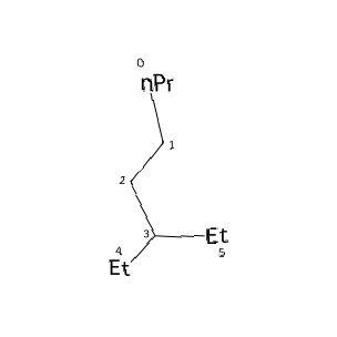 [CH2]CCCCC(C[CH2])CC